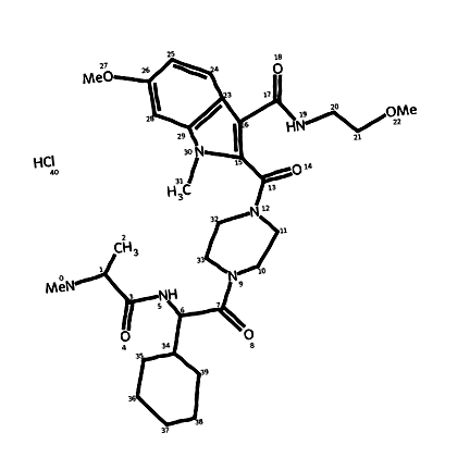 CNC(C)C(=O)NC(C(=O)N1CCN(C(=O)c2c(C(=O)NCCOC)c3ccc(OC)cc3n2C)CC1)C1CCCCC1.Cl